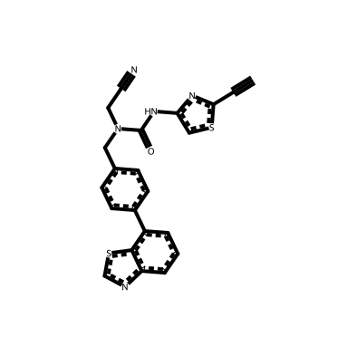 C#Cc1nc(NC(=O)N(CC#N)Cc2ccc(-c3cccc4ncsc34)cc2)cs1